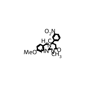 COc1ccc(CN2C(=N)N(C)C(=O)CC2(C)c2cccc([N+](=O)[O-])c2)cc1